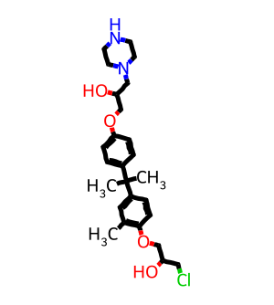 Cc1cc(C(C)(C)c2ccc(OCC(O)CN3CCNCC3)cc2)ccc1OCC(O)CCl